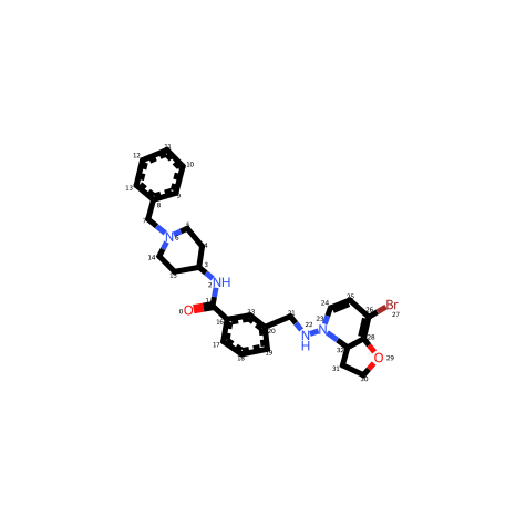 O=C(NC1CCN(Cc2ccccc2)CC1)c1cccc(CNN2C=CC(Br)=C3OCCC32)c1